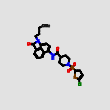 COCCCN1C(=O)c2cccc3c(NC(=O)C4CCN(S(=O)(=O)c5ccc(Cl)s5)CC4)ccc1c23